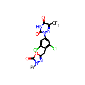 CC(C)n1nc(Cc2c(Cl)cc(-n3nc(C(F)(F)F)c(=O)[nH]c3=O)cc2Cl)oc1=O